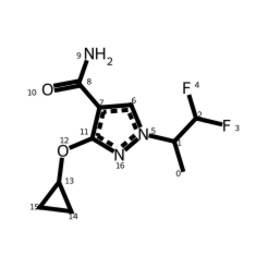 CC(C(F)F)n1cc(C(N)=O)c(OC2CC2)n1